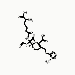 Cn1nnnc1SCC1=C(C(=O)O)N2C(=O)C(NC=O)(NC(=O)CCCC(N)C(=O)O)[C@@H]2SC1